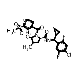 C[C@@H]1C[C@H](C(=O)NC(c2cc(F)c(Cl)cc2F)C2CC2)N(C(=O)c2ccnc(S(C)(=O)=O)c2)[C@@H]1C